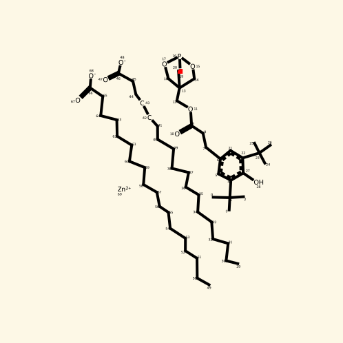 CC(C)(C)c1cc(CCC(=O)OCC23COP(OC2)OC3)cc(C(C)(C)C)c1O.CCCCCCCCCCCCCCCCCC(=O)[O-].CCCCCCCCCCCCCCCCCC(=O)[O-].[Zn+2]